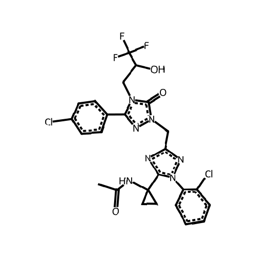 CC(=O)NC1(c2nc(Cn3nc(-c4ccc(Cl)cc4)n(CC(O)C(F)(F)F)c3=O)nn2-c2ccccc2Cl)CC1